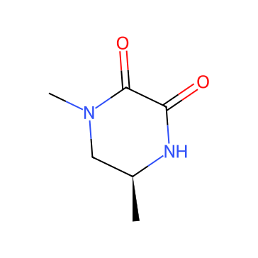 C[C@H]1CN(C)C(=O)C(=O)N1